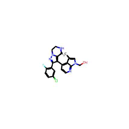 Cc1cn(CO)c2nccc(-c3c(-c4cc(Cl)ccc4F)nn4c3CNCC4)c12